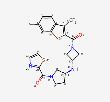 Cc1ccc2c(C(F)(F)F)c(C(=O)N3CC(N[C@H]4CCN(C(=O)c5nccs5)C4)C3)sc2c1